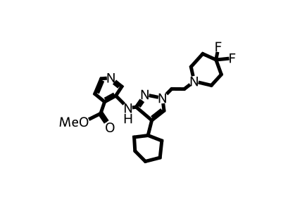 COC(=O)c1ccncc1Nc1nn(CCN2CCC(F)(F)CC2)cc1C1CCCCC1